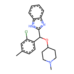 Cc1ccc(C(OC2CCN(C)CC2)c2nc3ccccc3[nH]2)c(Cl)c1